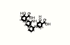 Nc1cccnc1.Nc1cccnc1.O=C(O)c1ccccc1O.O=C(O)c1ccccc1O